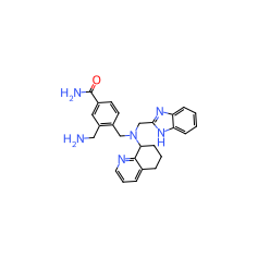 NCc1cc(C(N)=O)ccc1CN(Cc1nc2ccccc2[nH]1)C1CCCc2cccnc21